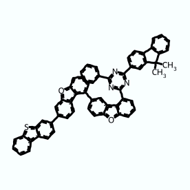 CC1(C)c2ccccc2-c2ccc(-c3nc(-c4ccccc4)nc(-c4cccc5oc6ccc(-c7cccc8oc9cc(-c%10ccc%11c(c%10)sc%10ccccc%10%11)ccc9c78)cc6c45)n3)cc21